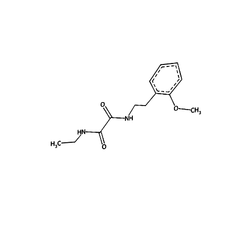 CCNC(=O)C(=O)NCCc1ccccc1OC